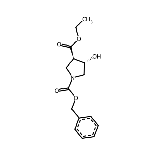 CCOC(=O)[C@@H]1CN(C(=O)OCc2ccccc2)C[C@H]1O